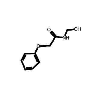 O=C(COc1ccccc1)NCO